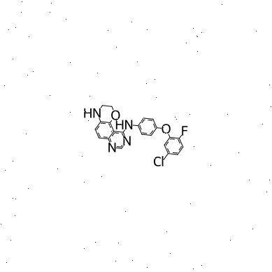 Fc1ccc(Cl)cc1Oc1ccc(Nc2ncnc3ccc4c(c23)OCCN4)cc1